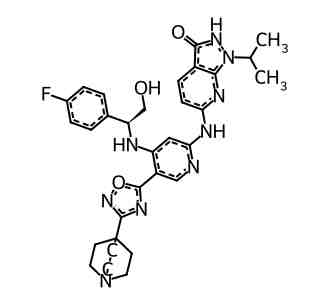 CC(C)n1[nH]c(=O)c2ccc(Nc3cc(N[C@H](CO)c4ccc(F)cc4)c(-c4nc(C56CCN(CC5)CC6)no4)cn3)nc21